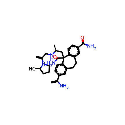 C=C(N)c1ccc2c(c1)CCc1cc(C(N)=O)ccc1C2(C[C@H](C)NCC(=C)N1CCCC1C#N)C(N)=O